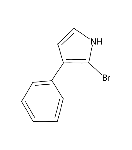 Brc1[nH]ccc1-c1ccccc1